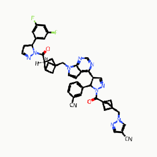 N#Cc1cccc(C2C(c3ncnc4c3ccn4CC34CC(C3)[C@@H](C(=O)N3N=CCC3c3cc(F)cc(F)c3)C4)C=NN2C(=O)C23CC(Cn4cc(C#N)cn4)(C2)C3)c1